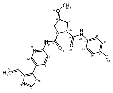 C=Cc1ncoc1-c1ccc(NC(=O)[C@H]2C[C@@H](OC)CN2C(=O)Nc2ccc(Cl)cc2)nc1